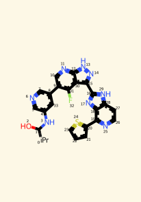 CC(C)C(O)Nc1cncc(-c2cnc3[nH]nc(-c4nc5c(-c6cccs6)nccc5[nH]4)c3c2F)c1